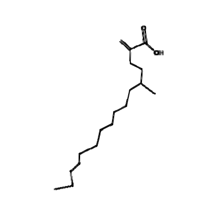 C=C(CCC(C)CCCCCCCCCCC)C(=O)O